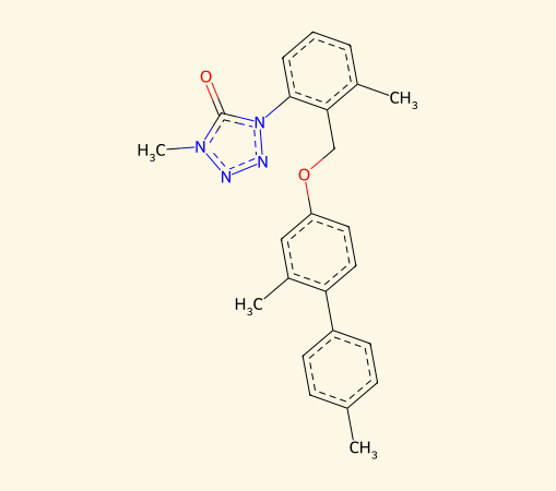 Cc1ccc(-c2ccc(OCc3c(C)cccc3-n3nnn(C)c3=O)cc2C)cc1